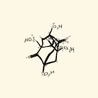 CC1(C)C2(C(=O)O)CC3(C(=O)O)C(=O)C1(C(=O)O)CC(C(=O)O)(C2=O)C3(C)C